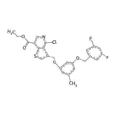 CCOC(=O)c1cnc(Cl)c2c(COc3cc(C)cc(OCc4cc(F)cc(F)c4)c3)csc12